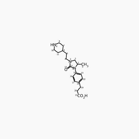 CC1CN(CCC2CCNCC2)C(=O)N1c1ccc(CCC(=O)O)cc1